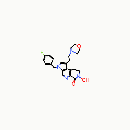 O=C1c2ncc3c(c(CCN4CCOCC4)cn3Cc3ccc(F)cc3)c2CCN1O